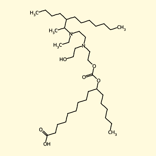 CCCCCCCC(CCCC)C(C)N(CC)CCN(CCO)CCOC(=O)OC(CCCCCC)CCCCCCCCC(=O)O